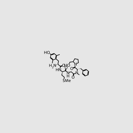 CSCC[C@@H](NC(=O)[C@H](N)Cc1c(C)cc(O)cc1C)C(=O)NCC(=O)N(C)[C@@H](Cc1ccccc1)C(=O)N1CCCC1CO